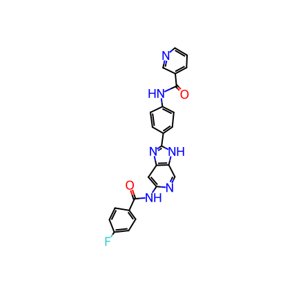 O=C(Nc1ccc(-c2nc3cc(NC(=O)c4ccc(F)cc4)ncc3[nH]2)cc1)c1cccnc1